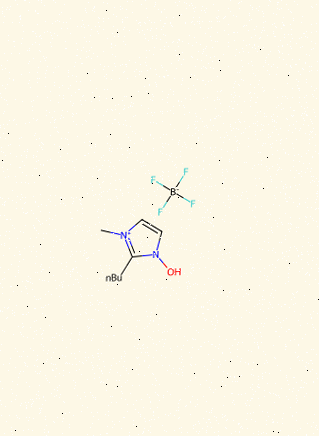 CCCCc1n(O)cc[n+]1C.F[B-](F)(F)F